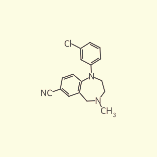 CN1CCN(c2cccc(Cl)c2)c2ccc(C#N)cc2C1